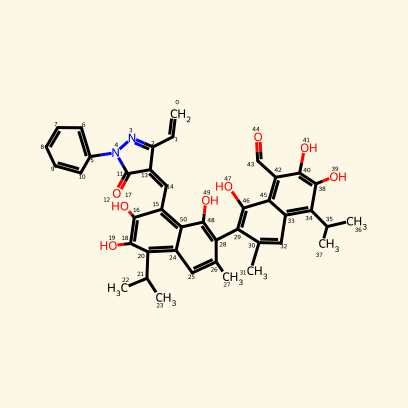 C=CC1=NN(c2ccccc2)C(=O)/C1=C\c1c(O)c(O)c(C(C)C)c2cc(C)c(-c3c(C)cc4c(C(C)C)c(O)c(O)c(C=O)c4c3O)c(O)c12